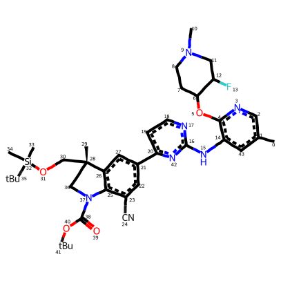 Cc1cnc(OC2CCN(C)CC2F)c(Nc2nccc(-c3cc(C#N)c4c(c3)[C@@](C)(CO[Si](C)(C)C(C)(C)C)CN4C(=O)OC(C)(C)C)n2)c1